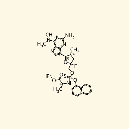 CC(C)OC(=O)[C@H](C)NP(=S)(OC[C@]1(F)C[C@H](C)[C@H](n2cnc3c(N(C)C)nc(N)nc32)O1)Oc1cccc2ccccc12